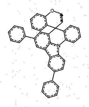 c1ccc(-c2ccc3c(c2)c2cc(-c4ccccc4)cc4c2n3-c2ccccc2C42c3ccccc3Oc3ccccc32)cc1